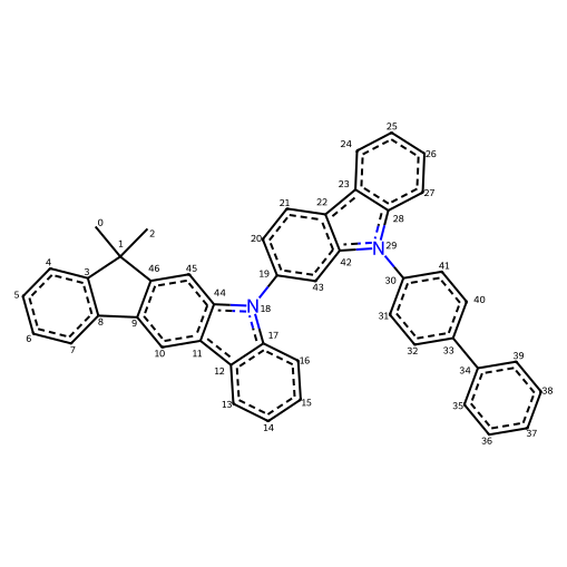 CC1(C)c2ccccc2-c2cc3c4ccccc4n(-c4ccc5c6ccccc6n(-c6ccc(-c7ccccc7)cc6)c5c4)c3cc21